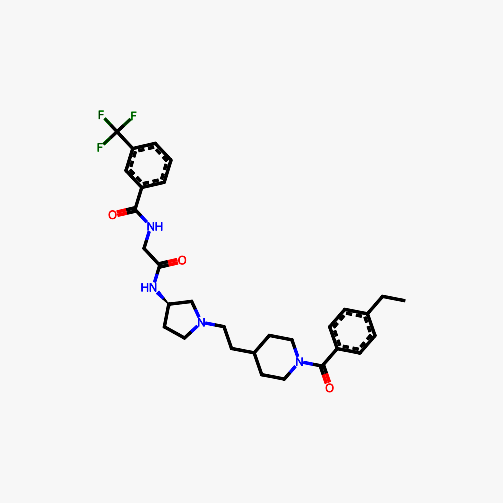 CCc1ccc(C(=O)N2CCC(CCN3CC[C@@H](NC(=O)CNC(=O)c4cccc(C(F)(F)F)c4)C3)CC2)cc1